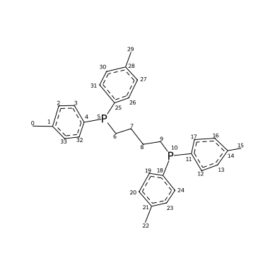 Cc1ccc(P(CCCCP(c2ccc(C)cc2)c2ccc(C)cc2)c2ccc(C)cc2)cc1